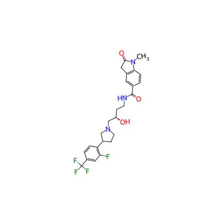 CN1C(=O)Cc2cc(C(=O)NCC[C@@H](O)CN3CCC(c4ccc(C(F)(F)F)cc4F)C3)ccc21